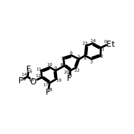 CCc1ccc(-c2ccc(-c3ccc(OC(F)F)c(F)c3)c(F)c2)cc1